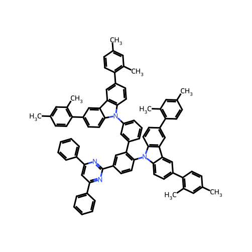 Cc1ccc(-c2ccc3c(c2)c2cc(-c4ccc(C)cc4C)ccc2n3-c2cccc(-c3cc(-c4nc(-c5ccccc5)cc(-c5ccccc5)n4)ccc3-n3c4ccc(-c5ccc(C)cc5C)cc4c4cc(-c5ccc(C)cc5C)ccc43)c2)c(C)c1